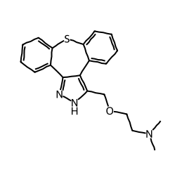 CN(C)CCOCc1[nH]nc2c1-c1ccccc1Sc1ccccc1-2